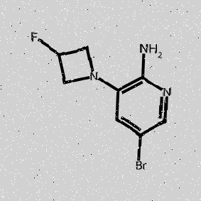 Nc1ncc(Br)cc1N1CC(F)C1